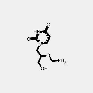 O=c1ccn(CC(CO)OCP)c(=O)[nH]1